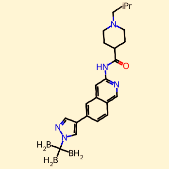 BC(B)(B)n1cc(-c2ccc3cnc(NC(=O)C4CCN(CC(C)C)CC4)cc3c2)cn1